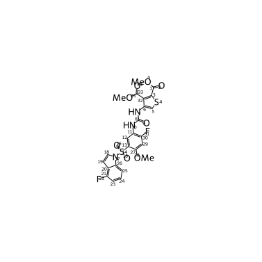 COC(=O)c1scc(NC(=O)Nc2cc(S(=O)(=O)n3ccc4c(F)cccc43)c(OC)cc2F)c1C(=O)OC